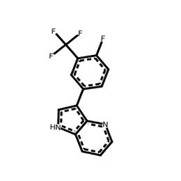 Fc1ccc(-c2c[nH]c3cccnc23)cc1C(F)(F)F